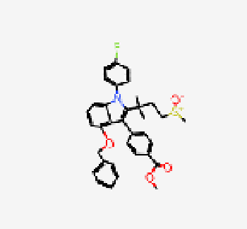 COC(=O)c1ccc(-c2c(C(C)(C)CC[S+](C)[O-])n(-c3ccc(F)cc3)c3cccc(OCc4ccccc4)c23)cc1